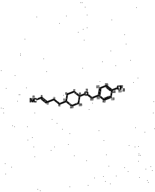 N#CC=CCCC1CCC(OCc2ccc(C(F)(F)F)cc2)CC1